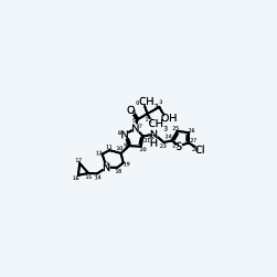 CC(C)(CO)C(=O)n1nc(C2CCN(CC3CC3)CC2)cc1NCc1ccc(Cl)s1